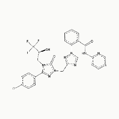 O=C(Nc1ccncn1)c1ccccc1-n1cnc(Cn2nc(-c3ccc(Cl)cc3)n(C[C@H](O)C(F)(F)F)c2=O)n1